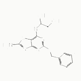 CC(CO)Nc1nc(SCc2ccccc2)nc2nc(N)sc12